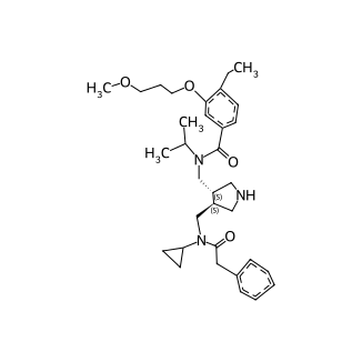 CCc1ccc(C(=O)N(C[C@@H]2CNC[C@H]2CN(C(=O)Cc2ccccc2)C2CC2)C(C)C)cc1OCCCOC